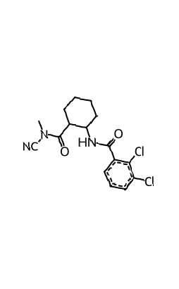 CN(C#N)C(=O)C1CCCCC1NC(=O)c1cccc(Cl)c1Cl